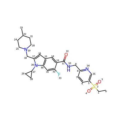 CCS(=O)(=O)c1ccc(CNC(=O)c2cc3cc(CN4CCC(C)CC4)n(C4CC4)c3cc2F)nc1